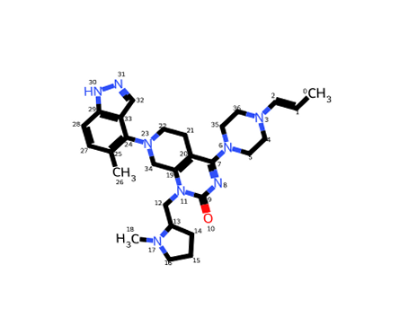 CC=CN1CCN(c2nc(=O)n(CC3CCCN3C)c3c2CCN(c2c(C)ccc4[nH]ncc24)C3)CC1